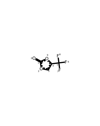 O=c1occ(C(F)(F)F)o1